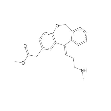 CNCC/C=C1\c2ccccc2COc2ccc(CC(=O)OC)cc21